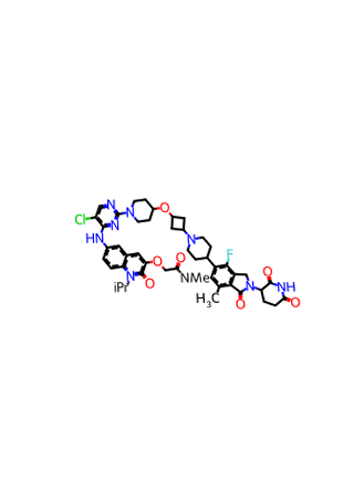 CNC(=O)COc1cc2cc(Nc3nc(N4CCC(OC5CC(N6CCC(c7cc(C)c8c(c7F)CN(C7CCC(=O)NC7=O)C8=O)CC6)C5)CC4)ncc3Cl)ccc2n(C(C)C)c1=O